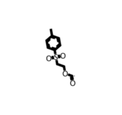 Cc1ccc(S(=O)(=O)CCO[C]=O)cc1